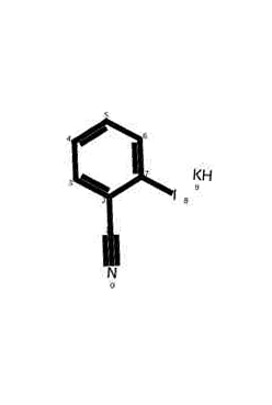 N#Cc1ccccc1I.[KH]